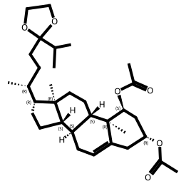 CC(=O)O[C@@H]1CC2=CC[C@H]3[C@@H]4CC[C@H]([C@H](C)CCC5(C(C)C)OCCO5)[C@@]4(C)CC[C@@H]3[C@@]2(C)[C@@H](OC(C)=O)C1